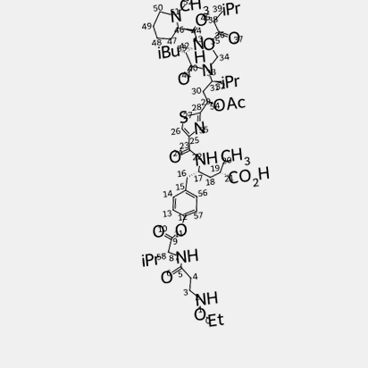 CCONCCC(=O)N[C@@H](C(=O)Oc1ccc(C[C@@H](C[C@H](C)C(=O)O)NC(=O)c2csc([C@@H](C[C@H](C(C)C)N(COC(=O)CC(C)C)C(=O)[C@@H](NC(=O)[C@H]3CCCCN3C)[C@@H](C)CC)OC(C)=O)n2)cc1)C(C)C